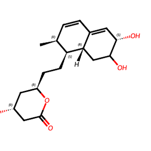 C[C@H]1C=CC2=C[C@H](O)C(O)C[C@@H]2[C@H]1CC[C@@H]1C[C@@H](O)CC(=O)O1